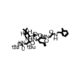 C=CCC(NC(=O)[C@@H]1[C@@H]2[C@H](CN1C(=O)[C@@H](NC(=O)OC(C)(C)C)C(C)(C)C)C2(C)C)C(=O)C(=O)NCC(=O)NCc1ccccc1C